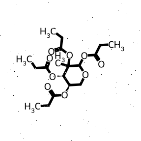 CCC(=O)OC1OC[C@@H](OC(=O)CC)[C@H](OC(=O)CC)C1(C)OC(=O)CC